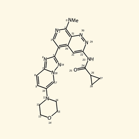 CNc1ncc(-c2nc3ccc(N4CCOCC4)cn3n2)c2cc(NC(=O)C3CC3)nnc12